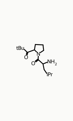 CC(C)CC(N)C(=O)N1CCCC1C(=O)C(C)(C)C